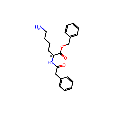 NCCCC[C@H](NC(=O)Cc1ccccc1)C(=O)OCc1ccccc1